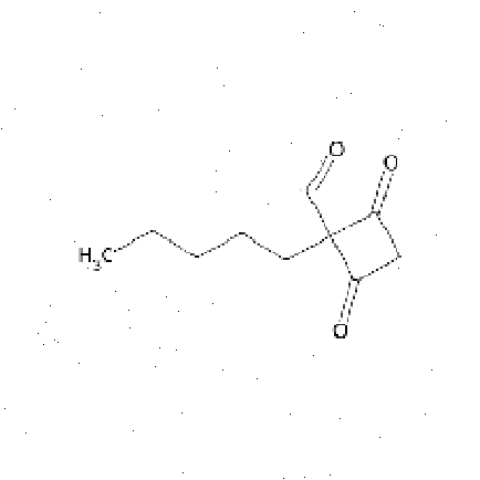 CCCCCC1([C]=O)C(=O)CC1=O